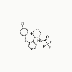 O=C(NC1CCCN2c3cc(Cl)ccc3Sc3ccccc3C12)C(F)(F)F